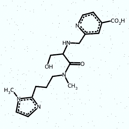 CN(CCCc1nccn1C)C(=O)C(CO)NCc1cc(C(=O)O)ccn1